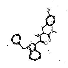 CNC(=O)[C@H](Cc1cccc(Br)c1)NC(=O)c1nn(Cc2ccccc2)c2ccccc12